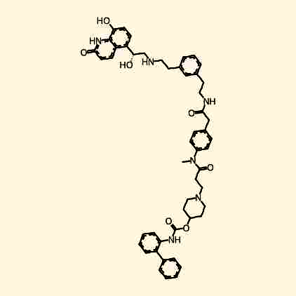 CN(C(=O)CCN1CCC(OC(=O)Nc2ccccc2-c2ccccc2)CC1)c1ccc(CC(=O)NCCc2cccc(CCNC[C@H](O)c3ccc(O)c4[nH]c(=O)ccc34)c2)cc1